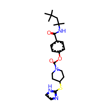 CC(C)(C)CC(C)(C)NC(=O)c1ccc(OC(=O)N2CCC(Sc3ncc[nH]3)CC2)cc1